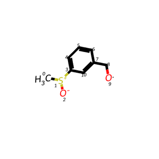 C[S+]([O-])c1cccc(C[O])c1